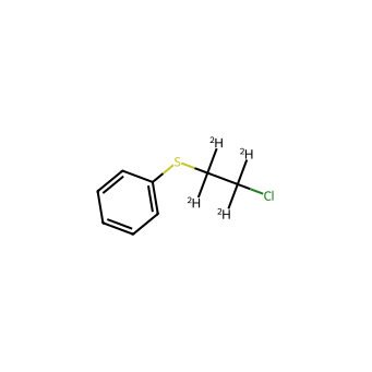 [2H]C([2H])(Cl)C([2H])([2H])Sc1ccccc1